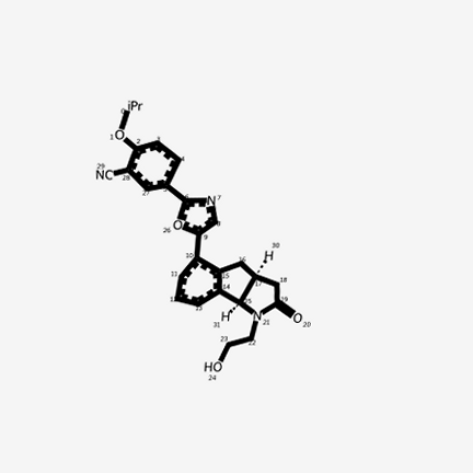 CC(C)Oc1ccc(-c2ncc(-c3cccc4c3C[C@H]3CC(=O)N(CCO)[C@@H]43)o2)cc1C#N